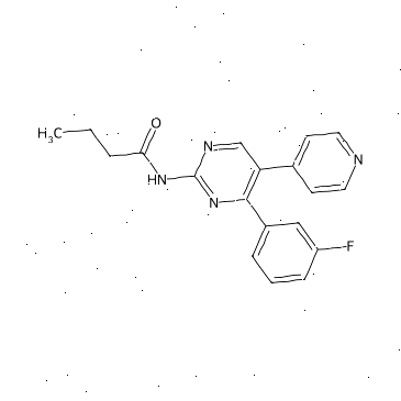 CCCC(=O)Nc1ncc(-c2ccncc2)c(-c2cccc(F)c2)n1